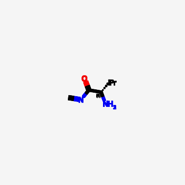 C=NC(=O)[C@@H](N)C(C)C